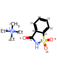 CC[N+](C)(CC)CC.O=C1NS(=O)(=O)c2ccccc21